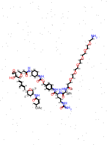 CC(=O)O[C@@H](C)/C=C\C(=O)N[C@@H]1C[C@H](C)[C@H](C/C=C(C)/C=C/[C@H]2O[C@H](CC(=O)N[C@H]3CC[C@H](NC(=O)OCc4ccc(NC(=O)[C@H](CCCNC(N)=O)NC(=O)[C@@H](NC(=O)CCOCCOCCOCCOCCOCCOCCN)C(C)C)cc4)CC3)C[C@@]3(CO3)[C@@H]2O)O[C@@H]1C